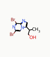 CC(CO)c1cnc2c(Br)nc(Br)cn12